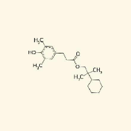 Cc1cc(CCC(=O)OCC(C)(C)C2CCCCC2)cc(C)c1O